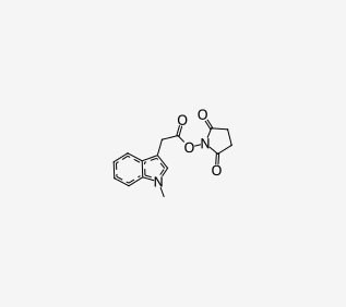 Cn1cc(CC(=O)ON2C(=O)CCC2=O)c2ccccc21